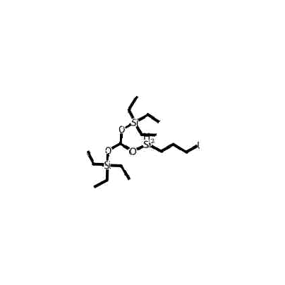 CC[Si](CC)(CC)OC(O[SiH2]CCCI)O[Si](CC)(CC)CC